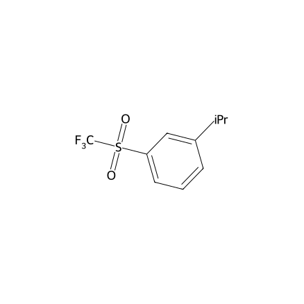 CC(C)c1cccc(S(=O)(=O)C(F)(F)F)c1